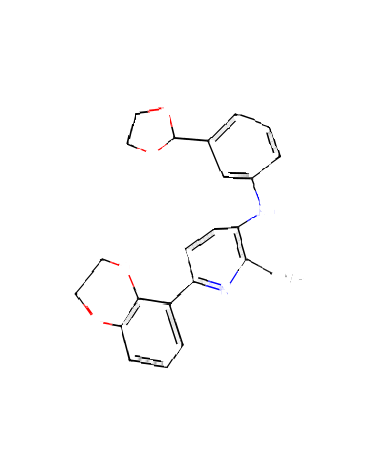 COc1nc(-c2cccc3c2OCCO3)ccc1Nc1cccc(C2OCCO2)c1